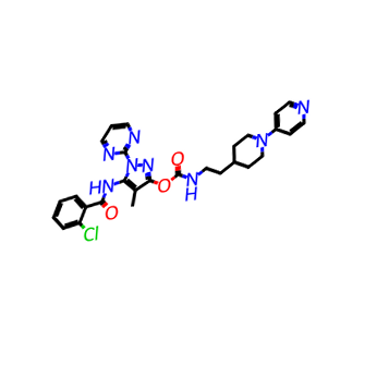 Cc1c(OC(=O)NCCC2CCN(c3ccncc3)CC2)nn(-c2ncccn2)c1NC(=O)c1ccccc1Cl